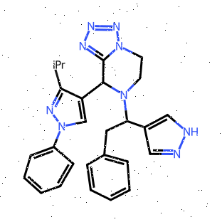 CC(C)c1nn(-c2ccccc2)cc1C1c2nnnn2CCN1C(Cc1ccccc1)c1cn[nH]c1